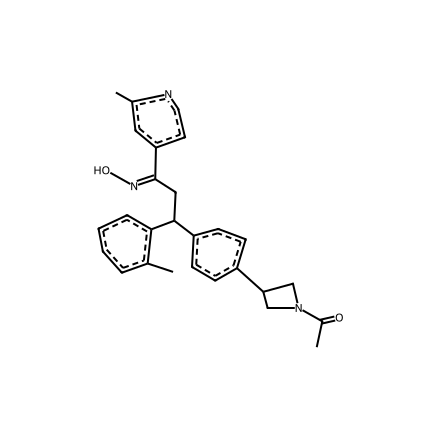 CC(=O)N1CC(c2ccc(C(CC(=NO)c3ccnc(C)c3)c3ccccc3C)cc2)C1